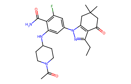 CCc1nn(-c2cc(F)c(C(N)=O)c(NC3CCN(C(C)=O)CC3)c2)c2c1C(=O)CC(C)(C)C2